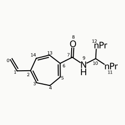 C=CC1=CCC=C(C(=O)NC(CCC)CCC)C=C1